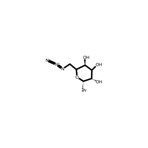 CC(C)[C@@H]1OC(CN=[N+]=[N-])[C@@H](O)C(O)[C@@H]1O